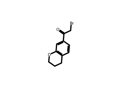 O=C(CBr)c1ccc2c(c1)OCCC2